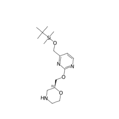 CC(C)(C)[Si](C)(C)OCc1ccnc(OC[C@@H]2CNCCO2)n1